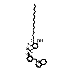 CCCCCCCCCCCCCCOc1c(O)ccc(O[PH](=O)Oc2cccc(C[n+]3cccc4ccccc43)c2)c1OC